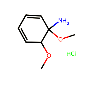 COC1C=CC=CC1(N)OC.Cl